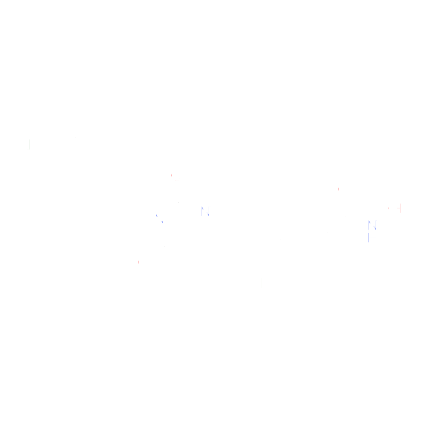 C=C(C(=O)NO)c1ccc(Cn2c(=O)n(CCc3ccc(Cl)cc3)c(=O)c3ccc(F)cc32)cc1